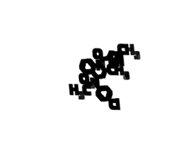 CC(=O)N(c1ccc(Cl)cc1)C1CC(C)N(C(=O)c2cc(C)no2)c2ccccc21